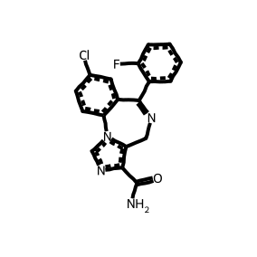 NC(=O)c1ncn2c1CN=C(c1ccccc1F)c1cc(Cl)ccc1-2